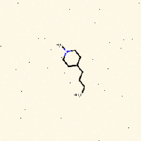 CN1CCC(CCCC(=O)O)CC1